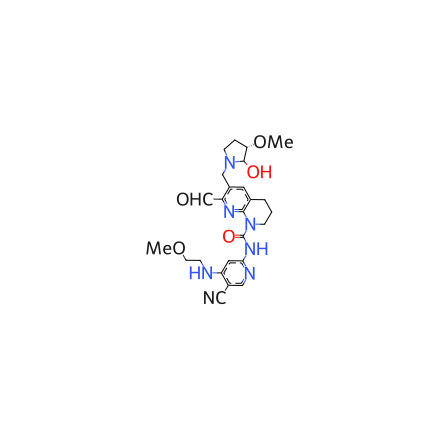 COCCNc1cc(NC(=O)N2CCCc3cc(CN4CC[C@H](OC)C4O)c(C=O)nc32)ncc1C#N